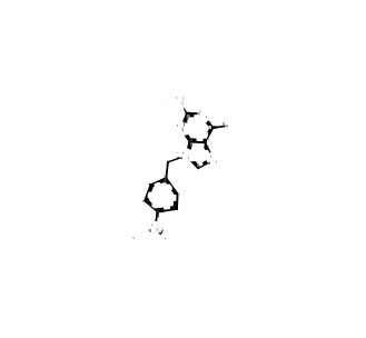 Nc1nc(Cl)c2ncn(Cc3ccc([N+](=O)[O-])cc3)c2n1